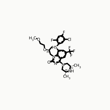 COCCO[C@@H]1Cn2c(=O)nc(N3C[C@@H](C)N[C@@H](C)C3)c3cc(C(F)(F)F)cc(c32)[SH](c2cc(Cl)c(F)cc2F)C1